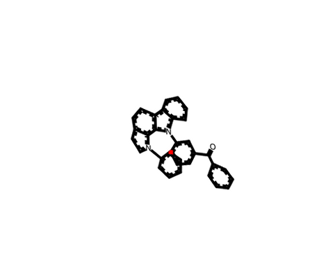 O=C(c1ccccc1)c1cccc(-n2c3ccccc3c3ccc4ccn(-c5ccccc5)c4c32)c1